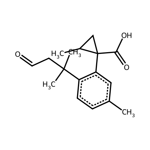 Cc1ccc(C(C)(C)CC=O)c(C2(C(=O)O)CC2C)c1